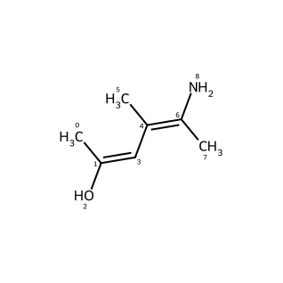 C/C(O)=C\C(C)=C(/C)N